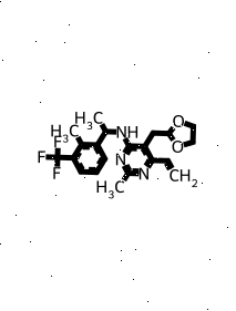 C=Cc1nc(C)nc(NC(C)c2cccc(C(F)(F)F)c2C)c1CC1OCCO1